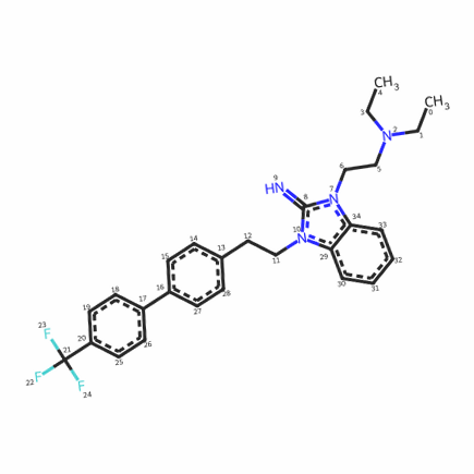 CCN(CC)CCn1c(=N)n(CCc2ccc(-c3ccc(C(F)(F)F)cc3)cc2)c2ccccc21